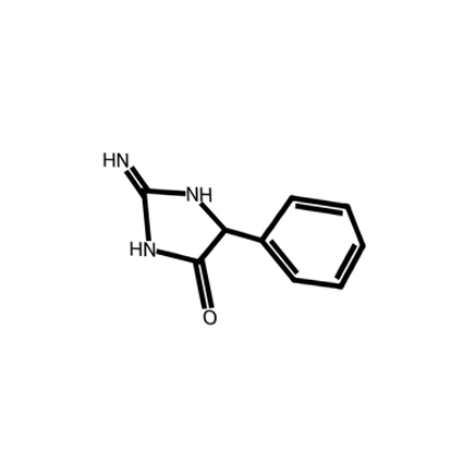 N=C1NC(=O)C(c2ccccc2)N1